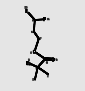 CCC(C)(C)C(=O)OCCC(F)F